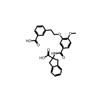 COc1ccc(C(=O)NC2(C(=O)O)Cc3ccccc3C2)cc1OCCc1cccc(C(=O)O)c1